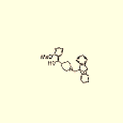 COc1ncccc1C(O)C1CCN(CC23CC(c4ccccc42)c2ccccc23)CC1